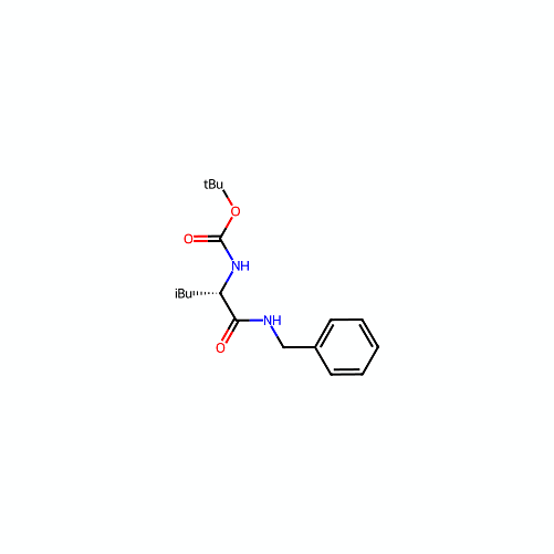 CCC(C)[C@H](NC(=O)OC(C)(C)C)C(=O)NCc1ccccc1